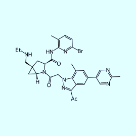 CCNC[C@@]12C[C@@H](C(=O)Nc3nc(Br)ccc3C)N(C(=O)Cn3nc(C(C)=O)c4cc(-c5cnc(C)nc5)cc(C)c43)[C@@H]1C2